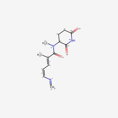 C=N/C=C\C=C(/C)C(=O)N(C)C1CCC(=O)NC1=O